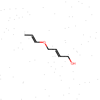 CC=COCC=CCO